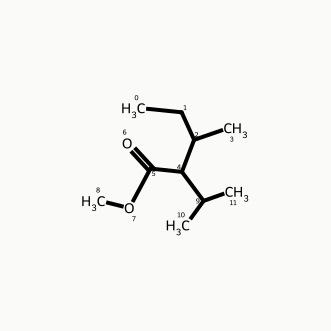 CCC(C)C(C(=O)OC)C(C)C